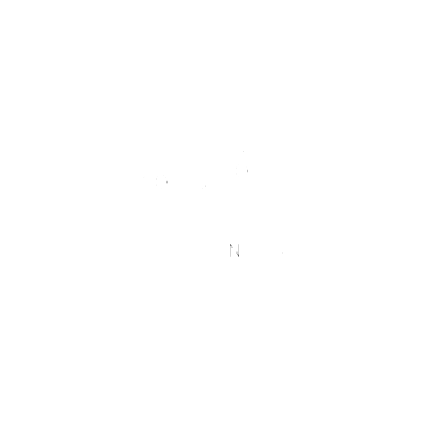 CN1[CH]COC1=O